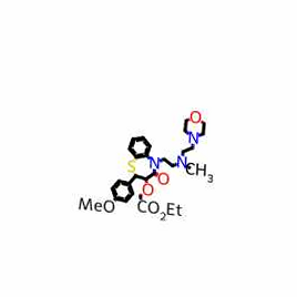 CCOC(=O)COC1C(=O)N(CCN(C)CCN2CCOCC2)c2ccccc2SC1c1ccc(OC)cc1